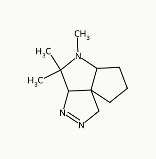 CN1C2CCCC23CN=NC3C1(C)C